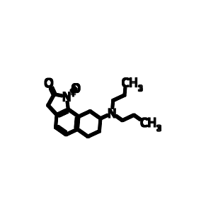 CCCN(CCC)C1CCc2ccc3c(c2C1)[N+](=O)C(=O)C3